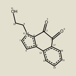 O=C1C(=O)c2c(ccn2CCO)-c2ccccc21